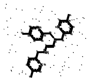 Cc1ccc(CNC=CN(Cc2ccc(C)cn2)Cc2ccc(C)cn2)nc1